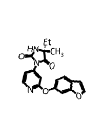 CC[C@@]1(C)NC(=O)N(c2ccnc(Oc3ccc4ccoc4c3)c2)C1=O